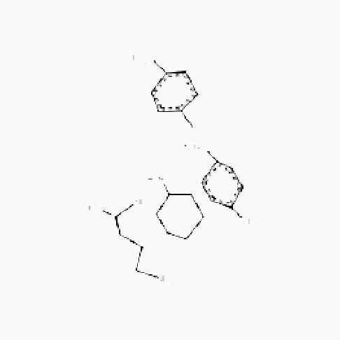 CC(=O)Nc1ccc(C=O)cc1.NC1CCCCC1.NCCC[C@H](N)C(=O)O.O=C(O)c1ccc(Cl)cc1